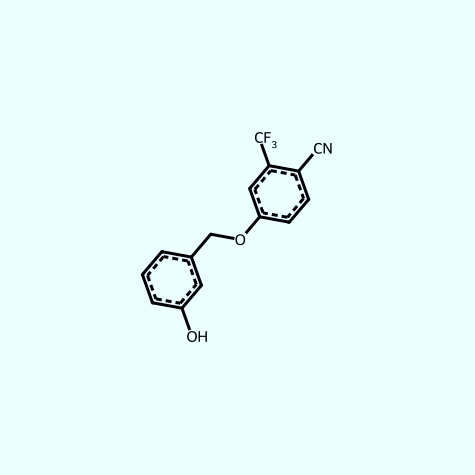 N#Cc1ccc(OCc2cccc(O)c2)cc1C(F)(F)F